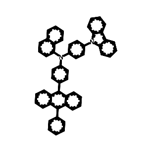 c1ccc(-c2c3ccccc3c(-c3ccc(N(c4ccc(-n5c6ccccc6c6ccccc65)cc4)c4cccc5ccccc45)cc3)c3ccccc23)cc1